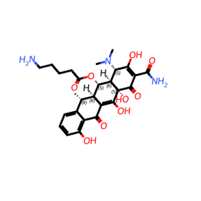 C[C@H]1c2cccc(O)c2C(=O)C2=C(O)[C@]3(O)C(=O)C(C(N)=O)=C(O)[C@@H](N(C)C)[C@@H]3[C@@H](OC(=O)CCCCN)[C@@H]21